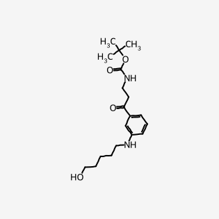 CC(C)(C)OC(=O)NCCC(=O)c1cccc(NCCCCCO)c1